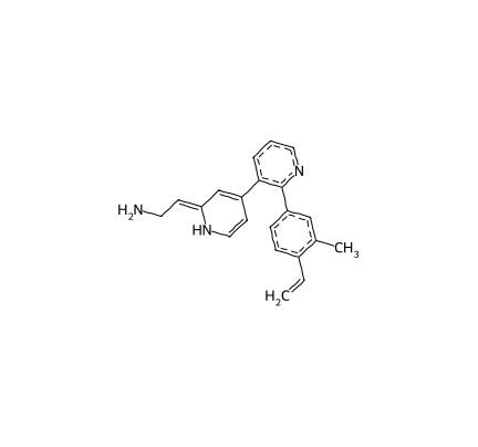 C=Cc1ccc(-c2ncccc2C2=C/C(=C/CN)NC=C2)cc1C